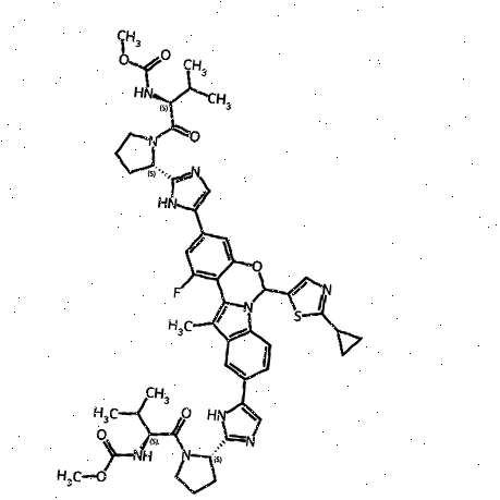 COC(=O)N[C@H](C(=O)N1CCC[C@H]1c1ncc(-c2cc(F)c3c(c2)OC(c2cnc(C4CC4)s2)n2c-3c(C)c3cc(-c4cnc([C@@H]5CCCN5C(=O)[C@@H](NC(=O)OC)C(C)C)[nH]4)ccc32)[nH]1)C(C)C